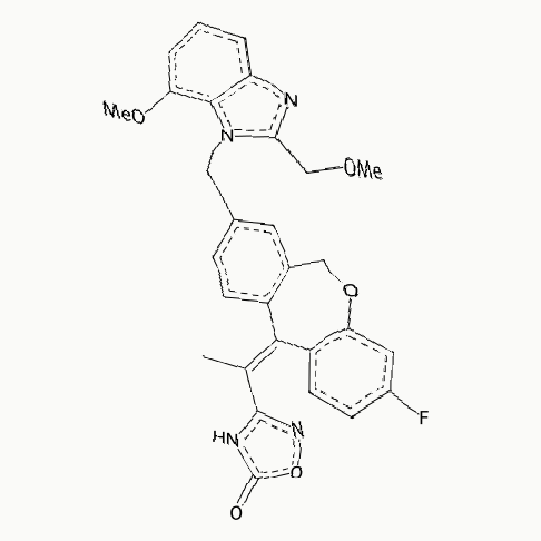 COCc1nc2cccc(OC)c2n1Cc1ccc2c(c1)COc1cc(F)ccc1C2=C(C)c1noc(=O)[nH]1